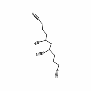 N#CCCCC(C#N)CC(C#N)CCCC#N